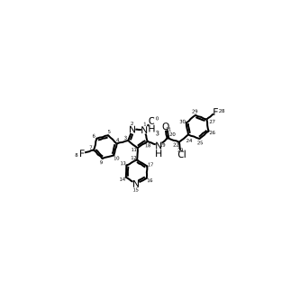 Cn1nc(-c2ccc(F)cc2)c(-c2ccncc2)c1NC(=O)C(Cl)c1ccc(F)cc1